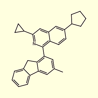 Cc1cc2c(c(-c3nc(C4CC4)cc4cc(C5CCCC5)ccc34)c1)Cc1ccccc1-2